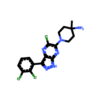 CC1(N)CCN(c2nc3[nH]nc(-c4cccc(Cl)c4Cl)c3nc2Cl)CC1